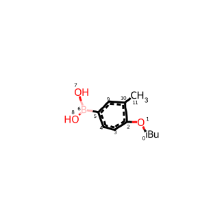 CCC(C)Oc1ccc(B(O)O)cc1C